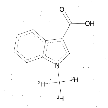 [2H]C([2H])([2H])n1cc(C(=O)O)c2ccccc21